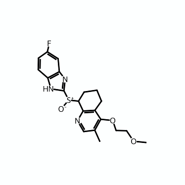 COCCOc1c(C)cnc2c1CCCC2[S+]([O-])c1nc2cc(F)ccc2[nH]1